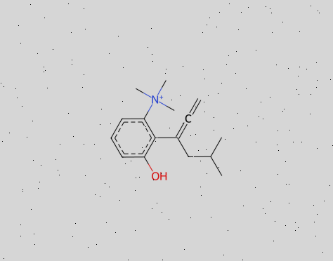 C=C=C(CC(C)C)c1c(O)cccc1[N+](C)(C)C